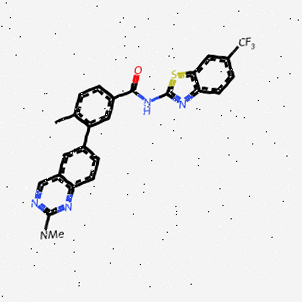 CNc1ncc2cc(-c3cc(C(=O)Nc4nc5ccc(C(F)(F)F)cc5s4)ccc3C)ccc2n1